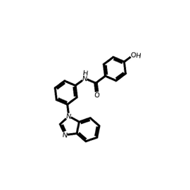 O=C(Nc1cccc(-n2cnc3ccccc32)c1)c1ccc(O)cc1